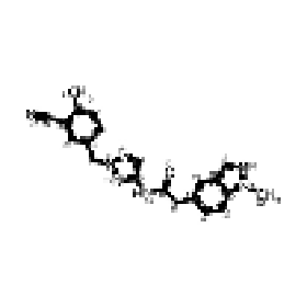 Cc1ccc(Cn2ncc(NC(=O)Cc3ccc4c(cnn4C)c3)n2)cc1C#N